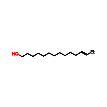 CCC=CCCCCCCCCCCCO